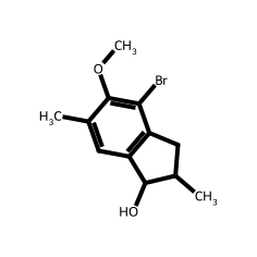 COc1c(C)cc2c(c1Br)CC(C)C2O